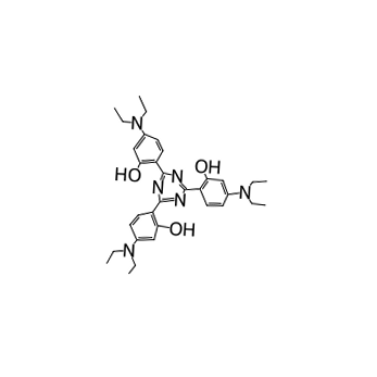 CCN(CC)c1ccc(-c2nc(-c3ccc(N(CC)CC)cc3O)nc(-c3ccc(N(CC)CC)cc3O)n2)c(O)c1